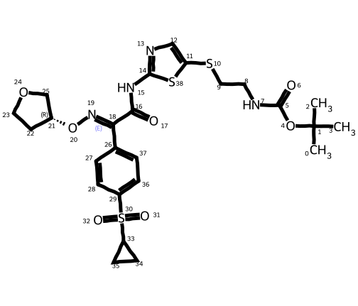 CC(C)(C)OC(=O)NCCSc1cnc(NC(=O)/C(=N/O[C@@H]2CCOC2)c2ccc(S(=O)(=O)C3CC3)cc2)s1